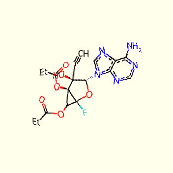 C#C[C@]1(O)[C@H](n2cnc3c(N)ncnc32)O[C@]2(F)C(OC(=O)CC)[C@@]21OC(=O)CC